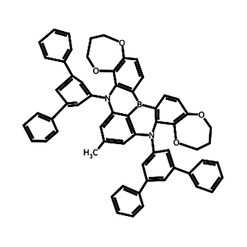 Cc1cc2c3c(c1)N(c1cc(-c4ccccc4)cc(-c4ccccc4)c1)c1c(ccc4c1OCCCO4)B3c1ccc3c(c1N2c1cc(-c2ccccc2)cc(-c2ccccc2)c1)OCCCO3